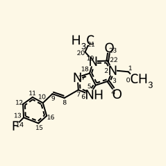 CCn1c(=O)c2[nH]c(C=Cc3ccc(F)cc3)nc2n(CC)c1=O